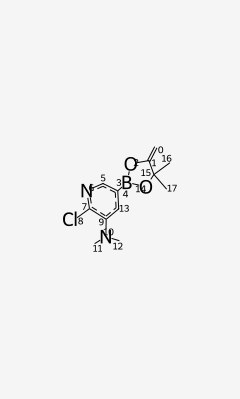 C=C1OB(c2cnc(Cl)c(N(C)C)c2)OC1(C)C